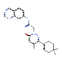 COc1cc(=O)n(CC(=N)Nc2ccc3cncnc3c2)nc1C1=CCC(C)(C)CC1